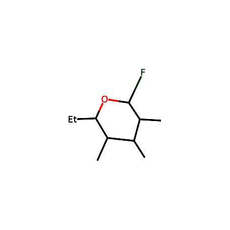 CCC1OC(F)C(C)C(C)C1C